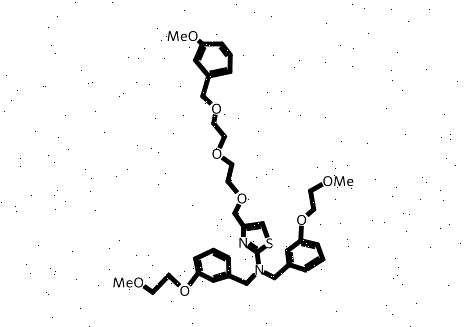 COCCOc1cccc(CN(Cc2cccc(OCCOC)c2)c2nc(COCCOCCOCc3cccc(OC)c3)cs2)c1